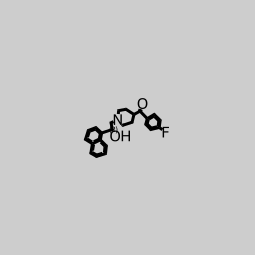 O=C(c1ccc(F)cc1)C1CCN(C[C@H](O)c2cccc3ccccc23)CC1